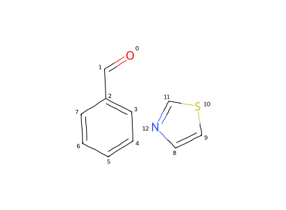 O=Cc1ccccc1.c1cscn1